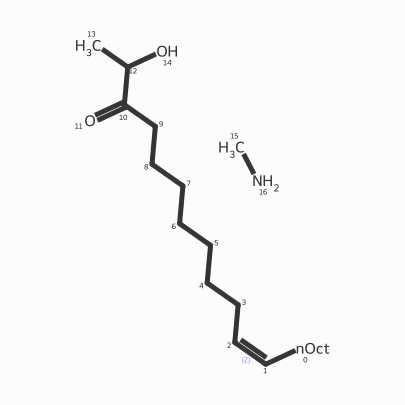 CCCCCCCC/C=C\CCCCCCCC(=O)C(C)O.CN